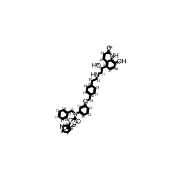 O=C(O[C@H]1CN2CCC1CC2)N(Cc1ccccc1)c1cccc(OCc2ccc(CCNC[C@H](O)c3ccc(O)c4[nH]c(=O)ccc34)cc2)c1